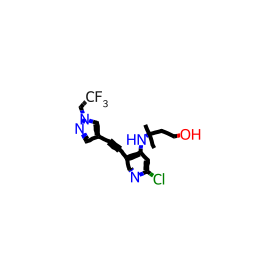 CC(C)(CCO)Nc1cc(Cl)ncc1C#Cc1cnn(CC(F)(F)F)c1